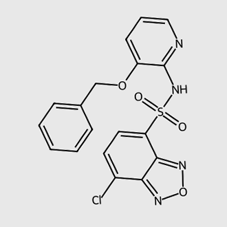 O=S(=O)(Nc1ncccc1OCc1ccccc1)c1ccc(Cl)c2nonc12